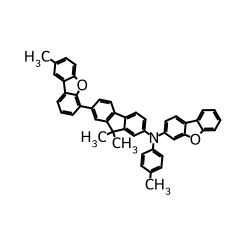 Cc1ccc(N(c2ccc3c(c2)C(C)(C)c2cc(-c4cccc5c4oc4ccc(C)cc45)ccc2-3)c2ccc3c(c2)oc2ccccc23)cc1